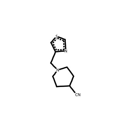 N#CC1CCN(Cc2cscn2)CC1